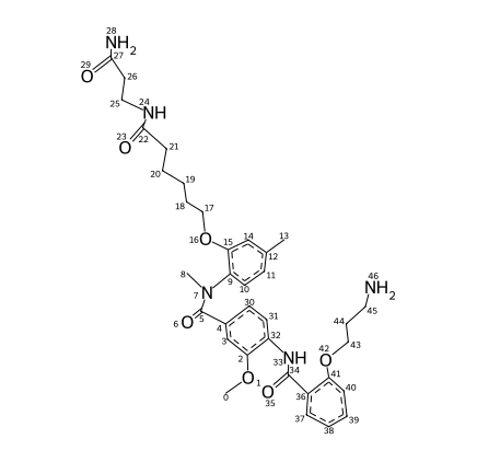 COc1cc(C(=O)N(C)c2ccc(C)cc2OCCCCCC(=O)NCCC(N)=O)ccc1NC(=O)c1ccccc1OCCCN